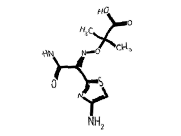 CC(C)(O/N=C(/C([NH])=O)c1nc(N)cs1)C(=O)O